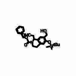 CC(C)(C)[Si](C)(C)Oc1cc2c(cc1CO)C(CC=O)N(C(=O)OCc1ccccc1)CC2